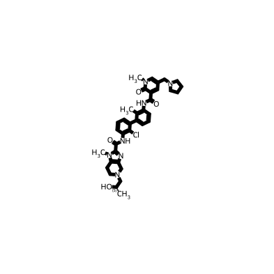 Cc1c(NC(=O)c2cc(CN3CCCC3)cn(C)c2=O)cccc1-c1cccc(NC(=O)c2nc3c(n2C)CCN(C[C@H](C)O)C3)c1Cl